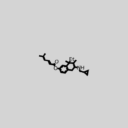 CCC1(C)c2cc(OC(=O)/C=C/C=C(C)C)ccc2CC(NCC2CC2)C1C